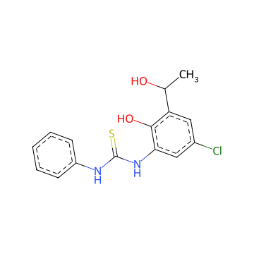 CC(O)c1cc(Cl)cc(NC(=S)Nc2ccccc2)c1O